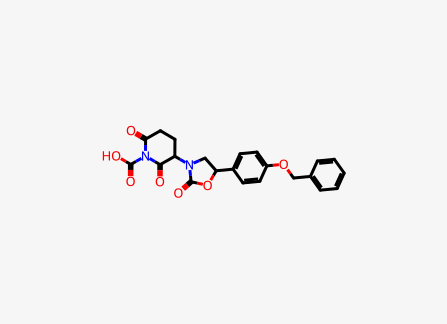 O=C(O)N1C(=O)CCC(N2CC(c3ccc(OCc4ccccc4)cc3)OC2=O)C1=O